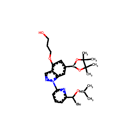 C[SiH](C)OC(c1cccc(-n2ncc3c(OCCCO)cc(B4OC(C)(C)C(C)(C)O4)cc32)n1)C(C)(C)C